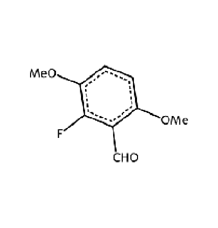 COc1ccc(OC)c(C=O)c1F